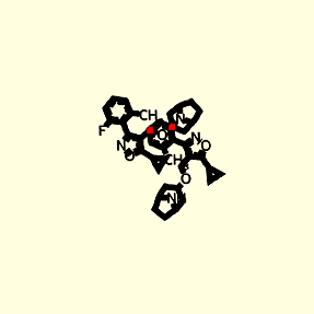 Cc1cccc(F)c1-c1noc(C2CC2)c1COC1CC2CCC(C1)N2c1cccc(C)c1-c1noc(C2CC2)c1COC1CC2CCC(C1)N2